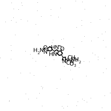 CC(C)(C(N)=O)n1cc(-c2cc3c4c(c(-c5ccc6oc(N)nc6c5)[nH]c4c2)NCCO3)cn1